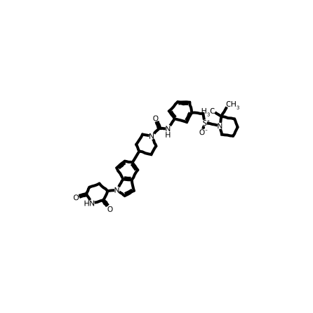 CC1(C)CCCCN1[S+]([O-])Cc1cccc(NC(=O)N2CCC(c3ccc4c(ccn4C4CCC(=O)NC4=O)c3)CC2)c1